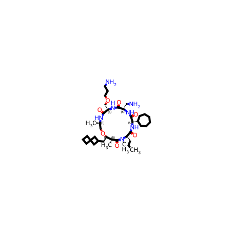 CCC[C@H]1C(=O)N[C@@H](C2CCCCCC2)C(=O)N[C@@H](CN)C(=O)N[C@@H](COCCCN)C(=O)N[C@H](C)CO[C@H](CC2CC3(CCC3)C2)[C@@H](C)C(=O)N1C